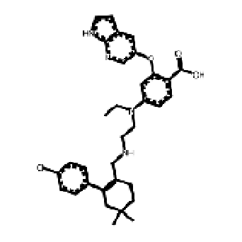 CCN(CCNCC1=C(c2ccc(Cl)cc2)CC(C)(C)CC1)c1ccc(C(=O)O)c(Oc2cnc3[nH]ccc3c2)c1